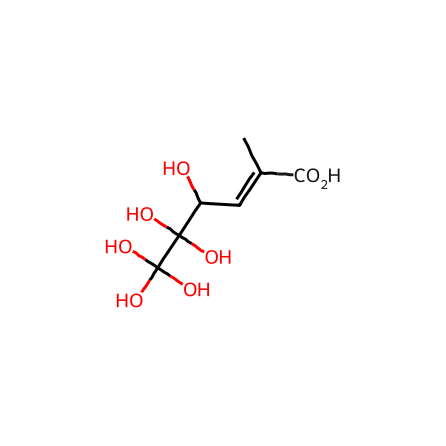 CC(=CC(O)C(O)(O)C(O)(O)O)C(=O)O